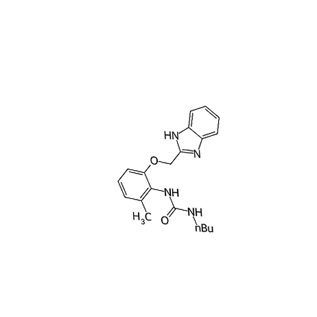 CCCCNC(=O)Nc1c(C)cccc1OCc1nc2ccccc2[nH]1